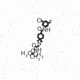 CC(C)(C)ONC(=O)CN1CC2(CCC(C(=O)Nc3cc(F)cc(Cl)c3)CC2)C1